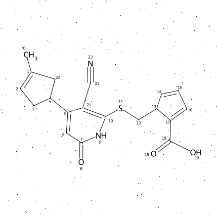 CC1=CCC(c2cc(=O)[nH]c(SCC3C=CC=C3C(=O)O)c2C#N)C1